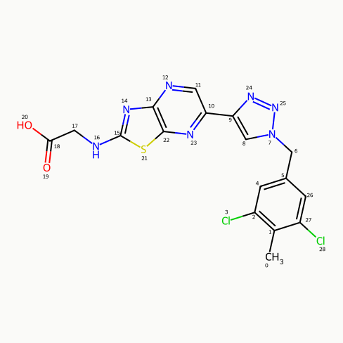 Cc1c(Cl)cc(Cn2cc(-c3cnc4nc(NCC(=O)O)sc4n3)nn2)cc1Cl